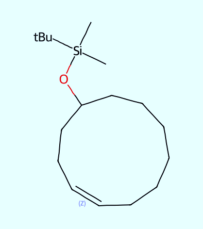 CC(C)(C)[Si](C)(C)OC1CC/C=C\CCCCCC1